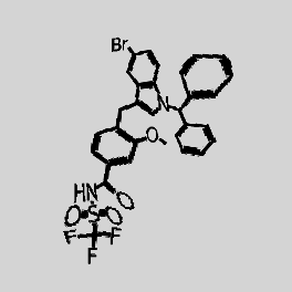 COc1cc(C(=O)NS(=O)(=O)C(F)(F)F)ccc1Cc1cn(C(c2ccccc2)c2ccccc2)c2ccc(Br)cc12